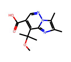 COC(C)(C)c1c(C(=O)O)cnn2c(C)c(C)nc12